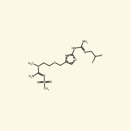 CN(CCSCc1csc(NC(N)=NCC(F)F)n1)C(N)=NS(C)(=O)=O